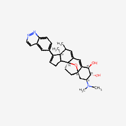 CC1C=C2C=C3[C@@H](O)[C@H](O)[C@@H](N(C)C)C[C@]34CC[C@]2(O4)C2CC=C(c3ccc4nnccc4c3)[C@@]12C